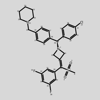 CS(=O)(=O)C(=C1CN([C@H](c2ccc(Cl)cc2)c2ccc(CN3CCCCC3)cc2)C1)c1cc(F)cc(F)c1